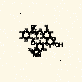 COc1cc(C(CC(=O)O)c2ccc(C)c(CN(C)[S+]([O-])c3ccccc3)c2)cc2nnn(C)c12